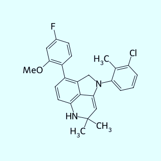 COc1cc(F)ccc1-c1ccc2c3c1CN(c1cccc(Cl)c1C)C3=CC(C)(C)N2